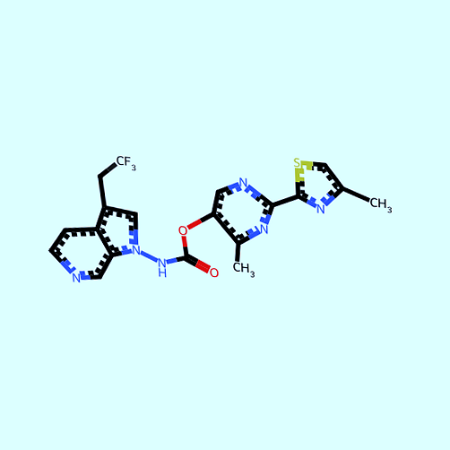 Cc1csc(-c2ncc(OC(=O)Nn3cc(CC(F)(F)F)c4ccncc43)c(C)n2)n1